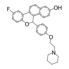 Oc1ccc2c3c(ccc2c1)-c1cc(F)ccc1OC3c1ccc(OCCN2CCCCC2)cc1